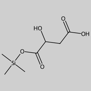 C[Si](C)(C)OC(=O)C(O)CC(=O)O